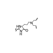 C=CCN(CC=C)CCCC1NC(=S)NC1=O